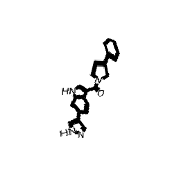 O=C(c1c[nH]c2cc(-c3cn[nH]c3)ccc12)N1CCC(c2ccccc2)C1